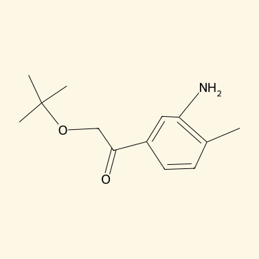 Cc1ccc(C(=O)COC(C)(C)C)cc1N